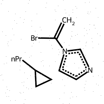 C=C(Br)n1ccnc1.CCCC1CC1